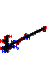 CN[C@@H](CC(=O)O)C(=O)N[C@@H](CCCCN(CC(=O)O)CC(=O)O)C(=O)N[C@@H](CCCCNC(=O)COCCOCCNC(=O)CCCCCCCCCCCCCCC(=O)O)C(N)=O